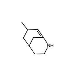 CC1C=C2CC(CCN2)C1